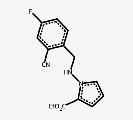 CCOC(=O)c1cccn1NCc1ccc(F)cc1C#N